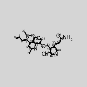 C=C/C=C(/c1cc(C)nc2c(OCc3c(Cl)cncc3/C=C/C(N)=O)cccc12)N(C)C